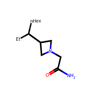 CCCCCCC(CC)C1CN(CC(N)=O)C1